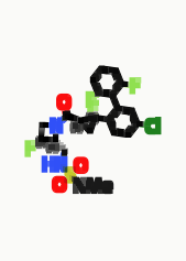 CNS(=O)(=O)NC[C@@H]1[C@H](F)CN1C(=O)[C@@H]1C[C@@]1(F)c1ccc(Cl)cc1-c1c(F)cccc1F